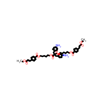 CCOC(=O)C=Cc1ccc(C(=O)OCCCCCCOC(=O)C(Cc2ccc(N)cc2)(Cc2ccc(N)cc2)C(=O)OCCCCCCOC(=O)c2ccc(C=CC(=O)OCC)cc2)cc1